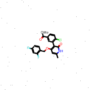 COC(=O)c1ccc(Cl)c(-c2c(OCc3ccc(F)cc3F)cc(C)[nH]c2=O)c1